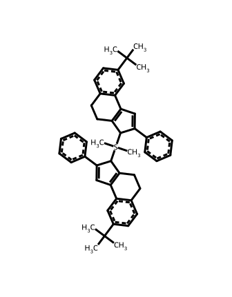 CC(C)(C)c1ccc2c(c1)C1=C(CC2)C(S(C)(C)C2C(c3ccccc3)=CC3=C2CCc2ccc(C(C)(C)C)cc23)C(c2ccccc2)=C1